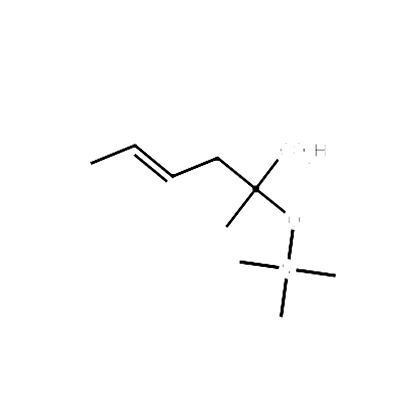 CC=CCC(C)(O[Si](C)(C)C)C(=O)O